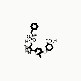 Cc1nc(-c2nnn(C)c2CNS(=O)(=O)N(C)Cc2ccccc2)ccc1O[C@H]1CCCC(C(=O)O)C1